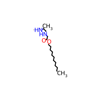 CCCCCCCCCCCCOC(=O)CNCC(C)[NH]